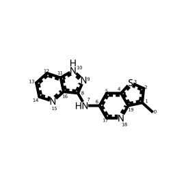 Cc1csc2cc(Nc3n[nH]c4cccnc34)cnc12